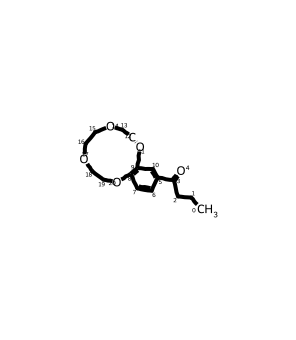 CCCC(=O)c1ccc2c(c1)OCCOCCOCCO2